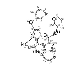 Cc1cc(Oc2ccccc2)ccc1N1C(=O)Nc2ccnc3sc(C(=O)NC4CCCOC4)c1c23